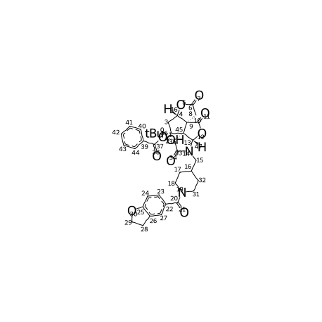 CC(C)(C)[C@]1(O)C[C@@H]2OC(=O)C[C@@]23C(=O)O[C@@H]2N(CC4CCN(C(=O)c5ccc6c(c5)CCO6)CC4)C(=O)[C@H](OC(=O)c4ccccc4)[C@]213